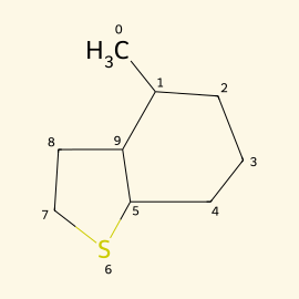 CC1CCCC2SCCC12